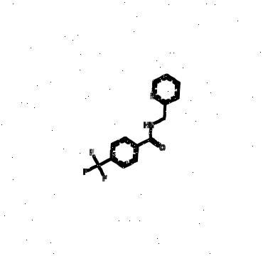 O=C(NCc1ccccn1)c1ccc(C(F)(F)F)cc1